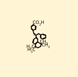 CC1(C)CCC(C)(C)c2cc(/C(=C/c3ccc(C(=O)O)cc3)Cc3ccccc3)ccc21